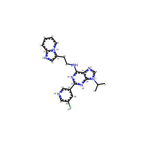 CC(C)n1cnc2c(NCCc3cnc4ccccn34)nc(-c3cncc(F)c3)nc21